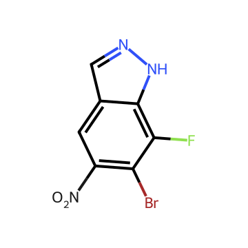 O=[N+]([O-])c1cc2cn[nH]c2c(F)c1Br